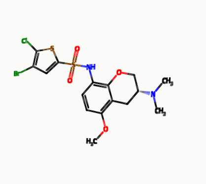 COc1ccc(NS(=O)(=O)c2cc(Br)c(Cl)s2)c2c1C[C@@H](N(C)C)CO2